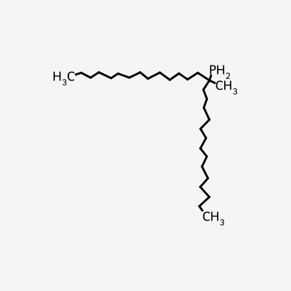 CCCCCCCCCCCCCCC(C)(P)CCCCCCCCCCCCCC